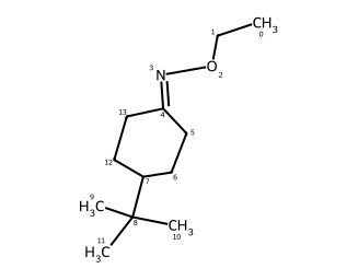 CCON=C1CCC(C(C)(C)C)CC1